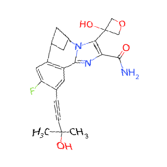 CC(C)(O)C#Cc1cc2c(cc1F)C1CC(C1)n1c-2nc(C(N)=O)c1C1(O)COC1